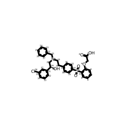 O=C(O)COc1ccccc1S(=O)(=O)c1ccc(CCN(Cc2ccccc2)C[C@@H](O)c2cccc(Cl)c2)cc1